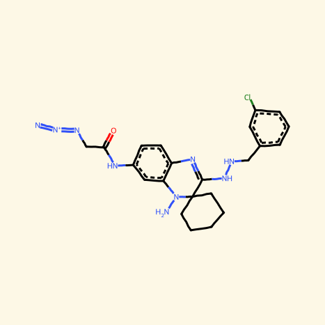 [N-]=[N+]=NCC(=O)Nc1ccc2c(c1)N(N)C1(CCCCC1)C(NNCc1cccc(Cl)c1)=N2